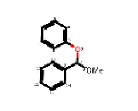 COC(Oc1cc[c]cc1)c1ccccc1